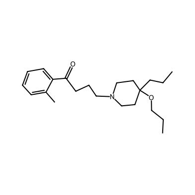 CCCOC1(CCC)CCN(CCCC(=O)c2ccccc2C)CC1